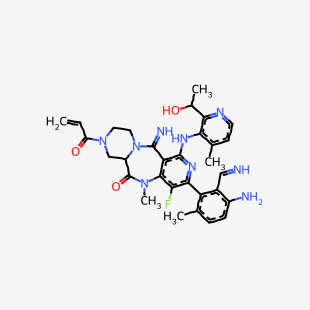 C=CC(=O)N1CCN2C(=N)c3c(Nc4c(C)ccnc4C(C)O)nc(-c4c(C)ccc(N)c4C=N)c(F)c3N(C)C(=O)C2C1